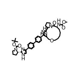 COC(=O)N[C@H]1CCCCCOCc2[nH]c(nc2-c2ccc(-c3ccc(-c4c[nH]c([C@@H]5CCCN5C(=O)OC(C)(C)C)n4)cc3)cc2)[C@@H]2CCCN2C1=O